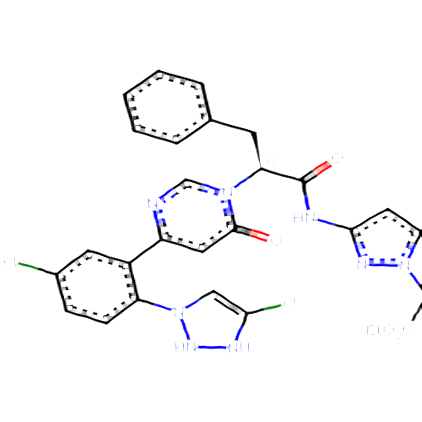 CCOC(=O)Cn1ccc(NC(=O)[C@H](Cc2ccccc2)n2cnc(-c3cc(Cl)ccc3N3C=C(Cl)NN3)cc2=O)n1